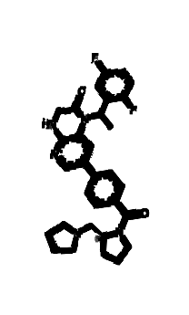 CC(c1cc(F)ccc1F)N1C(=O)CNc2ncc(-c3ccc(C(=O)N4CCC[C@H]4CN4CCCC4)cc3)cc21